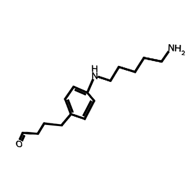 NCCCCCNc1ccc(CCCC=O)cc1